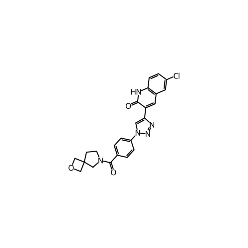 O=C(c1ccc(-n2cc(-c3cc4cc(Cl)ccc4[nH]c3=O)nn2)cc1)N1CCC2(COC2)C1